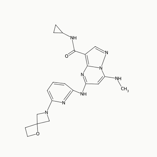 CNc1cc(Nc2cccc(N3CC4(CCO4)C3)n2)nc2c(C(=O)NC3CC3)cnn12